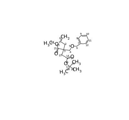 C=CCC(COCc1ccccc1)(CC(=O)OC(C)(C)C)C(=O)OC